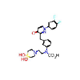 O=C(O)N(CCN1CCS(O)(O)CC1)c1cccc(Cc2nn(-c3ccc(F)c(F)c3)ccc2=O)c1